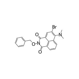 CN(C)c1c(Br)cc2c3c(cccc13)C(=O)N(OCc1ccccc1)C2=O